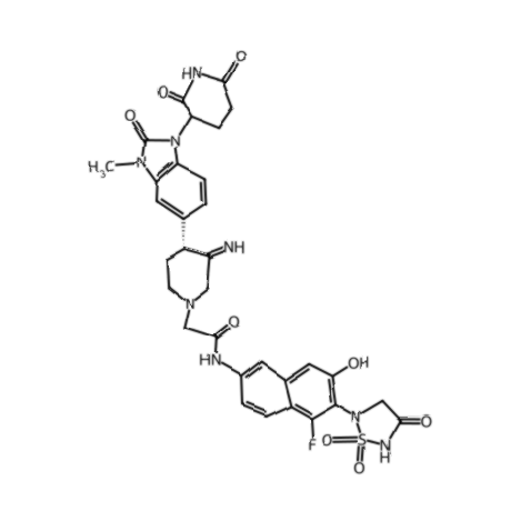 Cn1c(=O)n(C2CCC(=O)NC2=O)c2ccc([C@H]3CCN(CC(=O)Nc4ccc5c(F)c(N6CC(=O)NS6(=O)=O)c(O)cc5c4)CC3=N)cc21